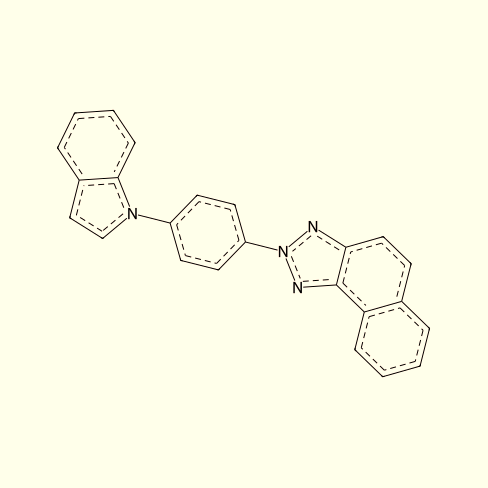 c1ccc2c(c1)ccc1nn(-c3ccc(-n4ccc5ccccc54)cc3)nc12